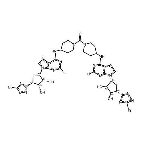 CCc1nnn([C@H]2C[C@@H](n3cnc4c(NC5CCN(C(=O)N6CCC(Nc7nc(Cl)nc8c7ncn8[C@@H]7C[C@H](n8nnc(CC)n8)[C@@H](O)[C@H]7O)CC6)CC5)nc(Cl)nc43)[C@H](O)[C@@H]2O)n1